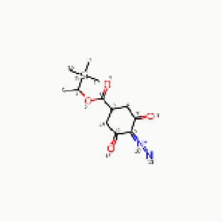 CC(OC(=O)C1CC(=O)C(=[N+]=[N-])C(=O)C1)[Si](C)(C)C